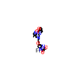 CCN1C(=O)C(C)(C)C(=O)N(C)c2cc(OCCCN(CCn3ccc4ccoc4c3=O)Cc3cnccc3C)ccc21